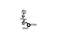 COc1cc(Cn2cncc2C(=O)NC2CN(C(=O)OC(C)(C)C)C2)cc(OC)c1